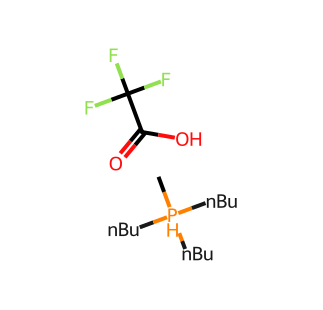 CCCC[PH](C)(CCCC)CCCC.O=C(O)C(F)(F)F